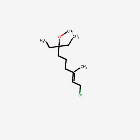 CCC(CC)(CCC/C(C)=C/CBr)OC